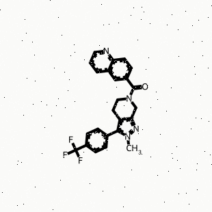 Cn1nc2c(c1-c1ccc(C(F)(F)F)cc1)CCN(C(=O)c1ccc3ncccc3c1)C2